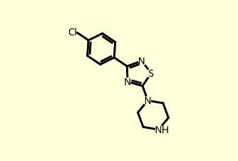 Clc1ccc(-c2nsc(N3CCNCC3)n2)cc1